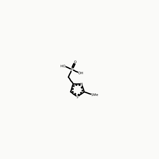 CSc1nc(CP(=O)(O)O)cs1